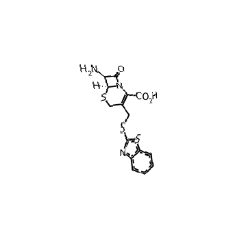 NC1C(=O)N2C(C(=O)O)=C(CSc3nc4ccccc4s3)CS[C@@H]12